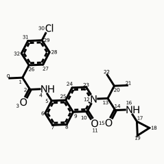 CC(C(=O)Nc1cccc2c(=O)n(C(C(=O)NC3CC3)C(C)C)ccc12)c1ccc(Cl)cc1